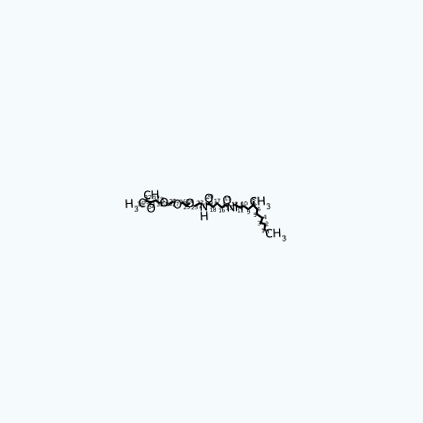 CCCCCCCC(C)CCCCNC(=O)CCCC(=O)NCCOCCOCCOCCC(=O)C(C)C